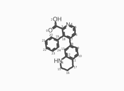 O=C(O)c1nccc(-c2ccc3c(c2)NCCC3)c1-c1ccccc1